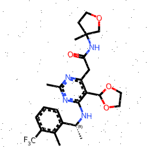 Cc1nc(CC(=O)NC2(C)CCOC2)c(C2OCCO2)c(N[C@H](C)c2cccc(C(F)(F)F)c2C)n1